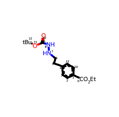 CCOC(=O)c1ccc(CCNNC(=O)OC(C)(C)C)cc1